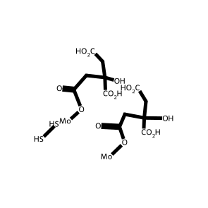 O=C(O)CC(O)(CC(=O)[O][Mo])C(=O)O.O=C(O)CC(O)(CC(=O)[O][Mo])C(=O)O.SS